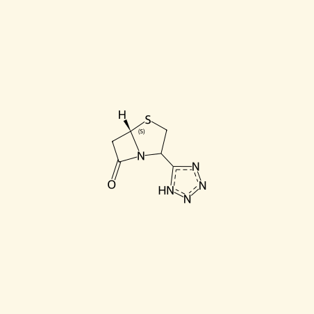 O=C1C[C@@H]2SCC(c3nnn[nH]3)N12